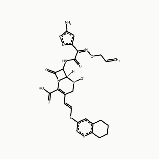 C=CCO/N=C(\C(=O)NC1C(=O)N2C(C(=O)O)=C(/C=C/Sc3cc4c(nn3)CCCC4)C[S+]([O-])[C@H]12)c1nsc(N)n1